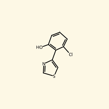 Oc1c[c]cc(Cl)c1-c1cscn1